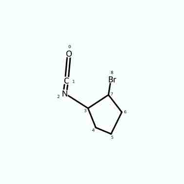 O=C=NC1CCCC1Br